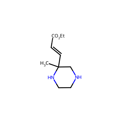 CCOC(=O)/C=C/C1(C)CNCCN1